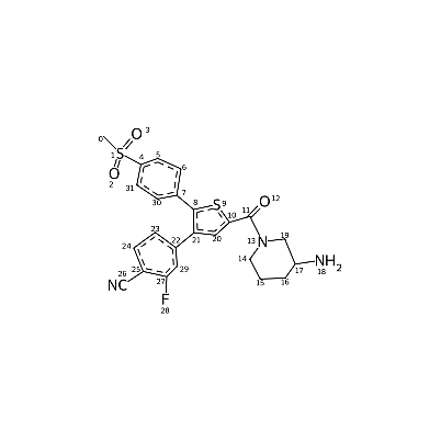 CS(=O)(=O)c1ccc(-c2sc(C(=O)N3CCCC(N)C3)cc2-c2ccc(C#N)c(F)c2)cc1